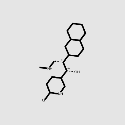 CNC[C@H](C1CCC2CCCCC2C1)[C@H](O)C1CCC(Cl)NC1